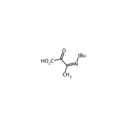 CC(=NC(C)(C)C)C(=O)C(=O)O